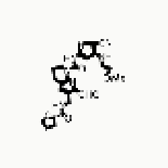 COCCNc1cc(NC(=O)N2CCCc3cc(CNC(=O)[C@H]4CCCO4)c(C=O)nc32)ncc1C#N